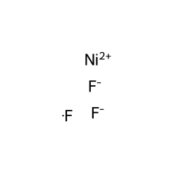 [F-].[F-].[F].[Ni+2]